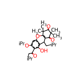 CC(C)CC(=O)c1c(OC(C)C)cc2c(c1O)C(CC(C)C)C1=C(O2)C(C)(C)C(=O)C(C)(C)C1=O